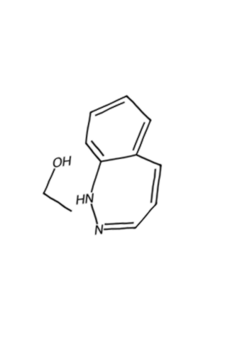 C1=Cc2ccccc2NN=C1.CCO